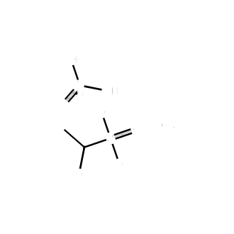 CC(O)P(=O)(O)O.O=[PH](O)O.[SnH4]